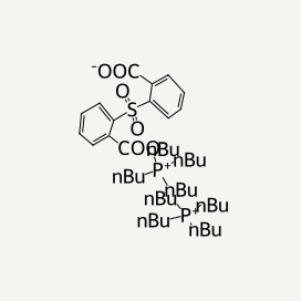 CCCC[P+](CCCC)(CCCC)CCCC.CCCC[P+](CCCC)(CCCC)CCCC.O=C([O-])c1ccccc1S(=O)(=O)c1ccccc1C(=O)[O-]